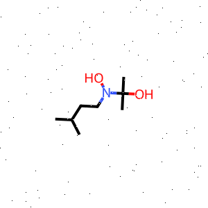 CC(C)CCN(O)C(C)(C)O